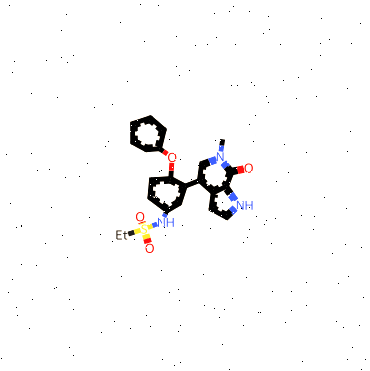 CCS(=O)(=O)Nc1ccc(Oc2ccccc2)c(-c2cn(C)c(=O)c3[nH]ccc23)c1